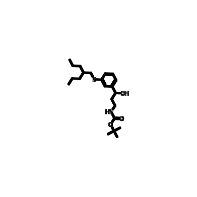 CCCC(CCC)CSc1cccc(C(O)CCNC(=O)OC(C)(C)C)c1